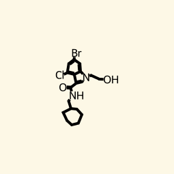 O=C(NCC1CCCCCC1)c1cn(CCO)c2cc(Br)cc(Cl)c12